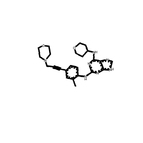 Cc1cc(C#CCN2CCOCC2)ccc1Nc1nc(NC2CCOCC2)c2nc[nH]c2n1